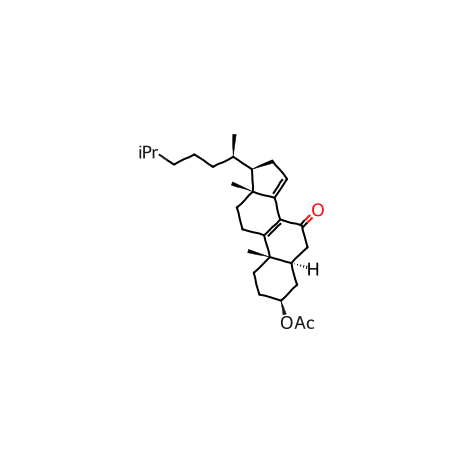 CC(=O)O[C@H]1CC[C@]2(C)C3=C(C(=O)C[C@H]2C1)C1=CC[C@H]([C@H](C)CCCC(C)C)[C@@]1(C)CC3